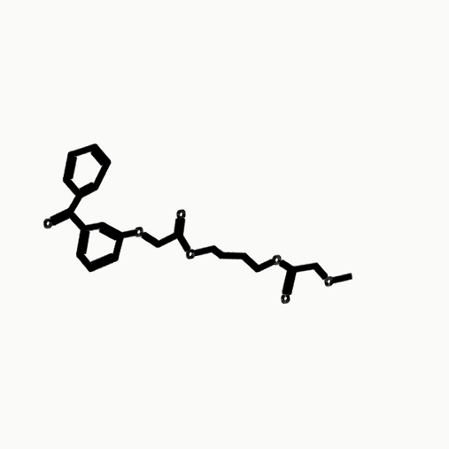 COCC(=O)OCCCCOC(=O)COc1cccc(C(=O)c2ccccc2)c1